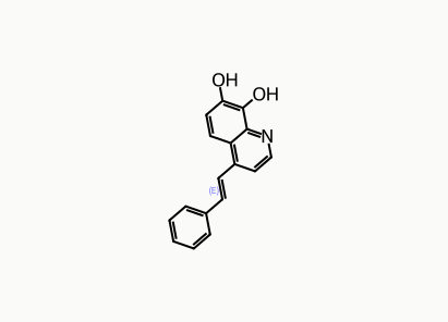 Oc1ccc2c(/C=C/c3ccccc3)ccnc2c1O